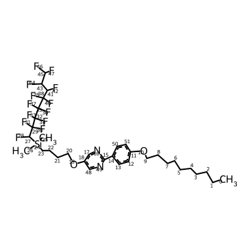 CCCCCCCCCCOc1ccc(-c2ncc(OCCCC[Si](C)(C)C(F)C(F)(F)C(F)(F)C(F)(F)C(F)(F)C(F)C(F)C(F)F)cn2)cc1